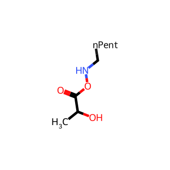 CCCCCCNOC(=O)C(C)O